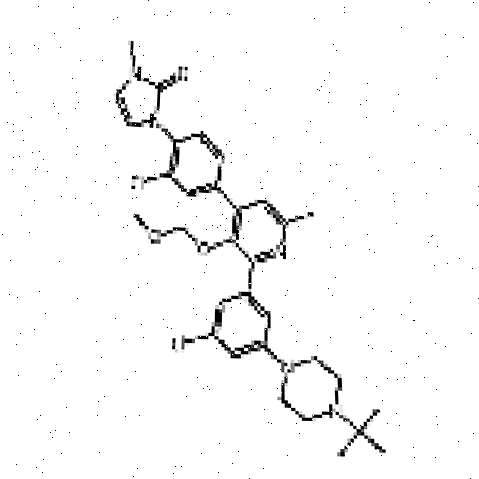 COCOc1c(-c2ccc(-n3ccn(C)c3=O)c(Cl)c2)cc(C)nc1-c1cc(Cl)cc(N2CCN(C(C)(C)C)CC2)c1